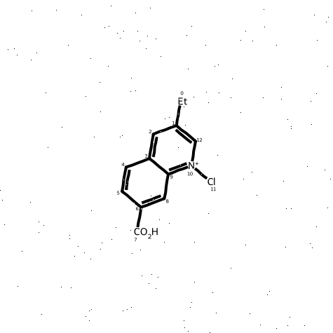 CCc1cc2ccc(C(=O)O)cc2[n+](Cl)c1